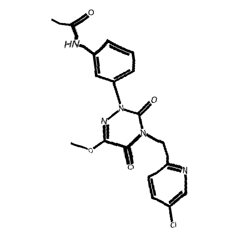 COc1nn(-c2cccc(NC(C)=O)c2)c(=O)n(Cc2ccc(Cl)cn2)c1=O